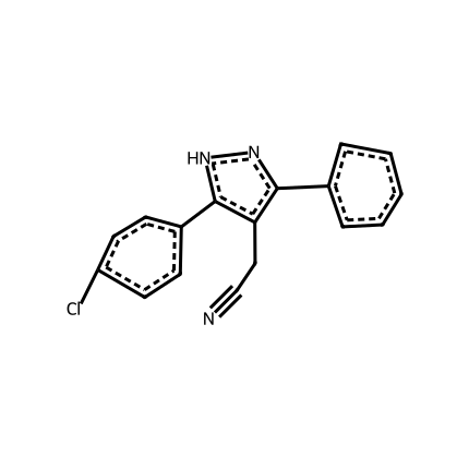 N#CCc1c(-c2ccccc2)n[nH]c1-c1ccc(Cl)cc1